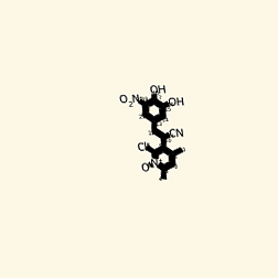 Cc1cc(C)[n+]([O-])c(Cl)c1/C(C#N)=C/c1cc(O)c(O)c([N+](=O)[O-])c1